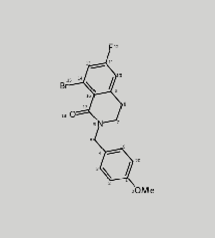 COc1ccc(CN2CCc3cc(F)cc(Br)c3C2=O)cc1